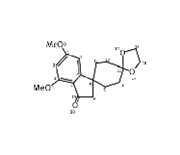 COc1cc(OC)c2c(c1)C1(CCC3(CC1)OCCO3)CC2=O